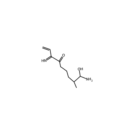 C=CC(=N)C(=O)CCCC(C)C(N)O